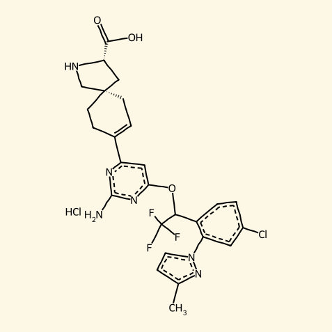 Cc1ccn(-c2cc(Cl)ccc2C(Oc2cc(C3=CC[C@]4(CC3)CN[C@H](C(=O)O)C4)nc(N)n2)C(F)(F)F)n1.Cl